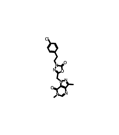 Cc1nn(Cc2nn(CCc3ccc(Cl)cc3)c(=O)o2)c2c(=O)n(C)cnc12